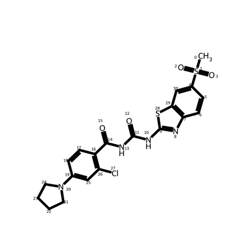 CS(=O)(=O)c1ccc2nc(NC(=O)NC(=O)c3ccc(N4CCCC4)cc3Cl)sc2c1